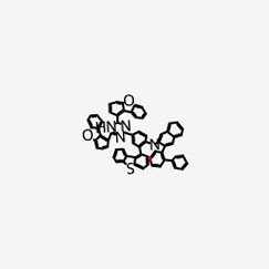 c1ccc(-c2cccc3c2c2cc4ccccc4cc2n3-c2ccc(C3=NC(c4cccc5oc6ccccc6c45)NC(c4cccc5oc6ccccc6c45)=N3)cc2-c2cccc3sc4ccccc4c23)cc1